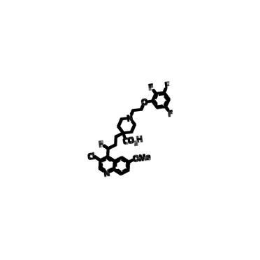 COc1ccc2ncc(Cl)c(C(F)CCC3(C(=O)O)CCN(CCOc4cc(F)cc(F)c4F)CC3)c2c1